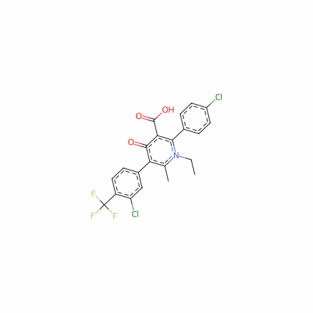 CCn1c(C)c(-c2ccc(C(F)(F)F)c(Cl)c2)c(=O)c(C(=O)O)c1-c1ccc(Cl)cc1